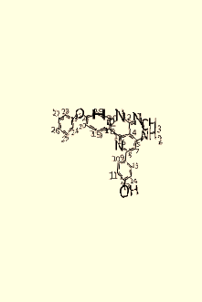 C/N=C(/N)c1c(N)cc(-c2ccc(O)cc2)nc1-c1ccc(Oc2ccccc2)cc1